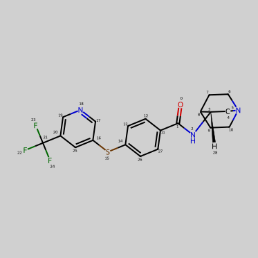 O=C(N[C@H]1CN2CCC1CC2)c1ccc(Sc2cncc(C(F)(F)F)c2)cc1